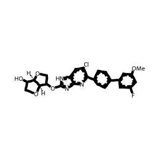 COc1cc(F)cc(-c2ccc(-c3nc4nc(OC5CO[C@@H]6C(O)CO[C@H]56)[nH]c4cc3Cl)cc2)c1